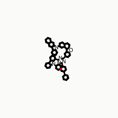 c1ccc(-c2ccc(-c3nc(-c4ccc5oc6ccc7ccc(-n8c9ccccc9c9cc%10ccccc%10cc98)cc7c6c5c4)nc(-c4cccc5c6ccccc6n(-c6ccccc6)c45)n3)cc2)cc1